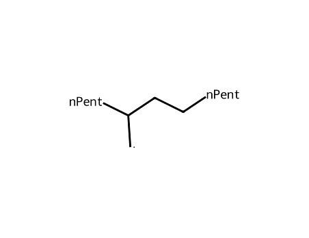 [CH2]CCCCCCC([CH2])CCCCC